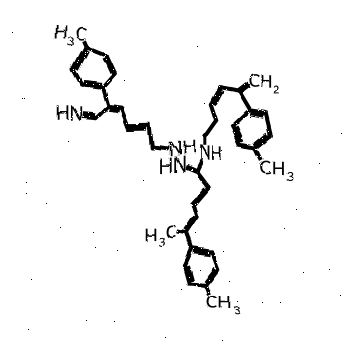 C=C(/C=C\CCNC(/C=C/C=C(\C)c1ccc(C)cc1)NNC/C=C/C=C(\C=N)c1ccc(C)cc1)c1ccc(C)cc1